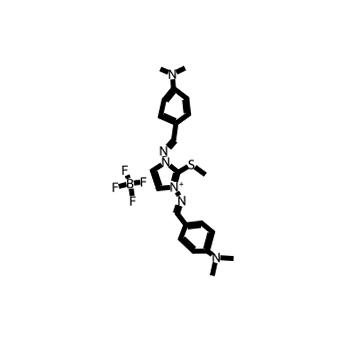 CSc1n(N=Cc2ccc(N(C)C)cc2)cc[n+]1N=Cc1ccc(N(C)C)cc1.F[B-](F)(F)F